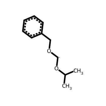 CC(C)O[CH]OCc1ccccc1